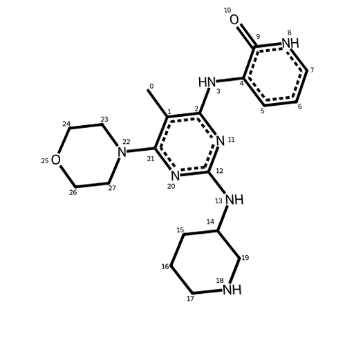 Cc1c(Nc2ccc[nH]c2=O)nc(NC2CCCNC2)nc1N1CCOCC1